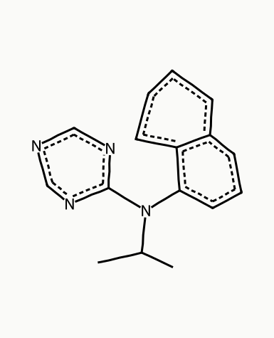 CC(C)N(c1ncncn1)c1cccc2ccccc12